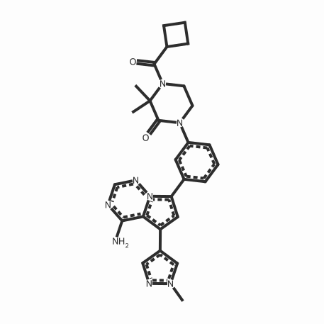 Cn1cc(-c2cc(-c3cccc(N4CCN(C(=O)C5CCC5)C(C)(C)C4=O)c3)n3ncnc(N)c23)cn1